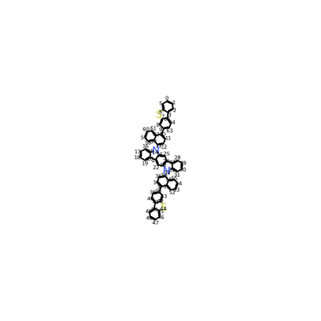 c1ccc2c(c1)sc1cc(-c3ccc(-n4c5ccccc5c5cc6c(cc54)c4ccccc4n6-c4ccc(-c5ccc6c(c5)sc5ccccc56)c5ccccc45)c4ccccc34)ccc12